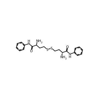 NC(CCSSCC[C@H](N)C(=O)Nc1ccccc1)C(=O)Nc1ccccc1